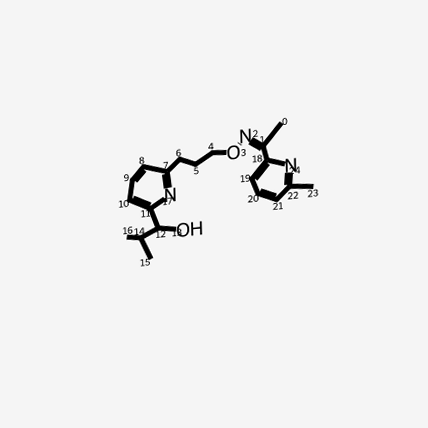 CC(=NOCCCc1cccc(C(O)C(C)C)n1)c1cccc(C)n1